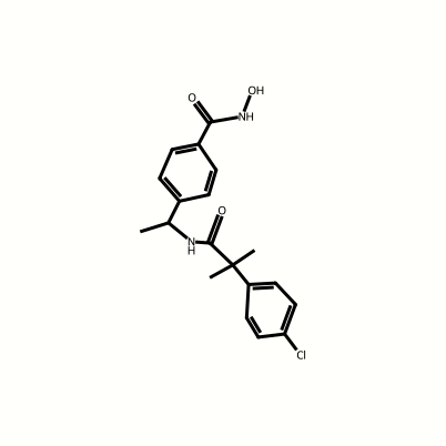 CC(NC(=O)C(C)(C)c1ccc(Cl)cc1)c1ccc(C(=O)NO)cc1